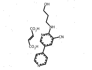 N#Cc1cc(-c2ccncc2)cnc1NCCCO.O=C(O)/C=C/C(=O)O